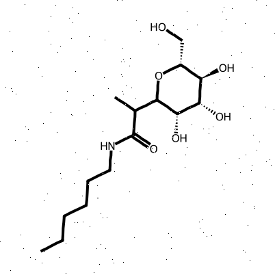 CCCCCCNC(=O)C(C)C1O[C@H](CO)[C@@H](O)[C@H](O)[C@@H]1O